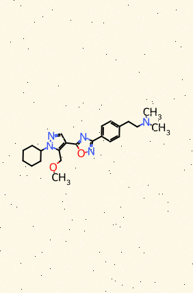 COCc1c(-c2nc(-c3ccc(CCN(C)C)cc3)no2)cnn1C1CCCCC1